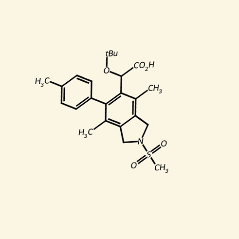 Cc1ccc(-c2c(C)c3c(c(C)c2C(OC(C)(C)C)C(=O)O)CN(S(C)(=O)=O)C3)cc1